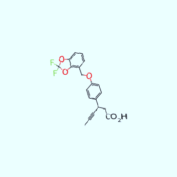 CC#CC(CC(=O)O)c1ccc(OCc2cccc3c2OC(F)(F)O3)cc1